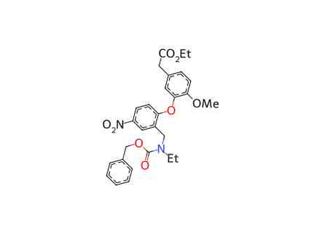 CCOC(=O)Cc1ccc(OC)c(Oc2ccc([N+](=O)[O-])cc2CN(CC)C(=O)OCc2ccccc2)c1